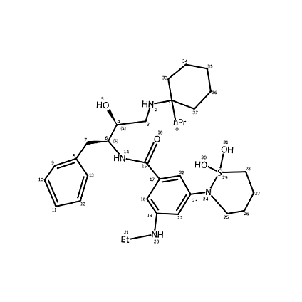 CCCC1(NC[C@H](O)[C@H](Cc2ccccc2)NC(=O)c2cc(NCC)cc(N3CCCCS3(O)O)c2)CCCCC1